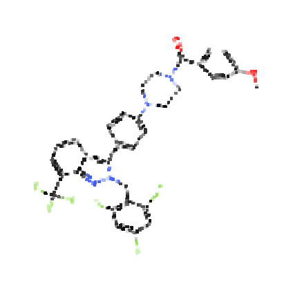 COc1ccc(C(=O)N2CCN(c3ccc(-c4c5cccc(C(F)(F)F)c5nn4Cc4c(F)cc(F)cc4F)cc3)CC2)cc1